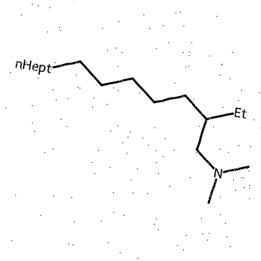 CCCCCCCCCCCCC(CC)CN(C)C